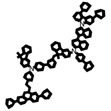 CC1(C)c2ccccc2-c2cc(N(c3ccc(CCC4Cc5cc(-c6ccccc6)ccc5-c5ccc(-c6ccccc6)cc54)cc3)c3ccc(-c4cccc(CC5(C)c6ccccc6-c6cc(N(c7ccc(-c8ccccc8)cc7)c7ccc(-c8ccc(-n9c%10ccc(-c%11ccccc%11)cc%10c%10c(-c%11ccccc%11)cccc%109)c9ccccc89)c8ccccc78)ccc65)c4)cc3)ccc21